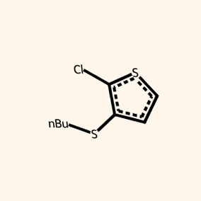 CCCCSc1ccsc1Cl